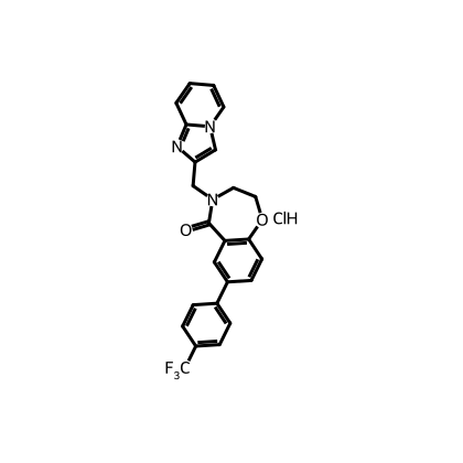 Cl.O=C1c2cc(-c3ccc(C(F)(F)F)cc3)ccc2OCCN1Cc1cn2ccccc2n1